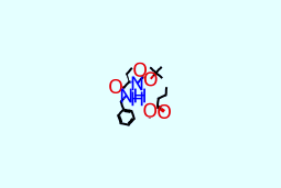 CCCC(=O)OC.CC[C@@H](NC(=O)OC(C)(C)C)C(=O)NCc1ccccc1